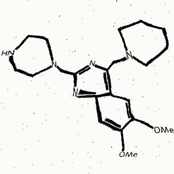 COc1cc2nc(N3CCNCC3)nc(N3CCCCC3)c2cc1OC